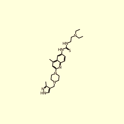 CCN(CC)CCNC(=S)Nc1ccc2nc(N3CCN(Cc4c[nH]nc4C)CC3)cc(C)c2c1